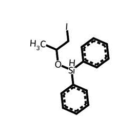 CC(CI)O[SiH](c1ccccc1)c1ccccc1